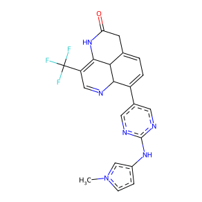 Cn1ccc(Nc2ncc(C3=CC=C4CC(=O)NC5=C(C(F)(F)F)C=NC3C45)cn2)c1